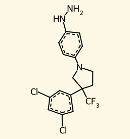 NNc1ccc(N2CCC(c3cc(Cl)cc(Cl)c3)(C(F)(F)F)C2)cc1